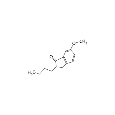 CCCCC1Cc2ccc(OC)cc2C1=O